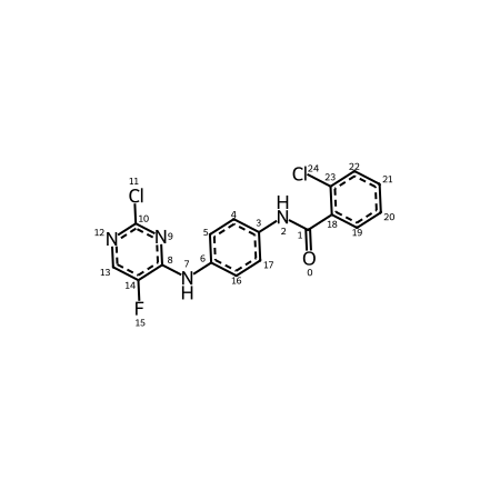 O=C(Nc1ccc(Nc2nc(Cl)ncc2F)cc1)c1ccccc1Cl